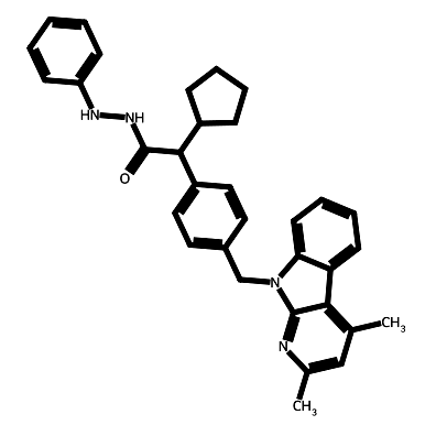 Cc1cc(C)c2c3ccccc3n(Cc3ccc(C(C(=O)NNc4ccccc4)C4CCCC4)cc3)c2n1